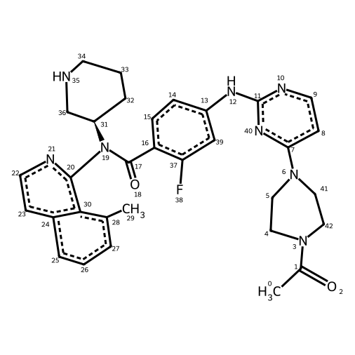 CC(=O)N1CCN(c2ccnc(Nc3ccc(C(=O)N(c4nccc5cccc(C)c45)[C@@H]4CCCNC4)c(F)c3)n2)CC1